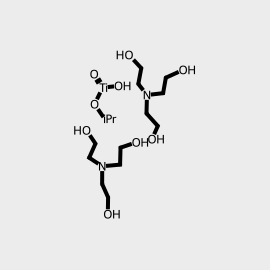 CC(C)[O][Ti](=[O])[OH].OCCN(CCO)CCO.OCCN(CCO)CCO